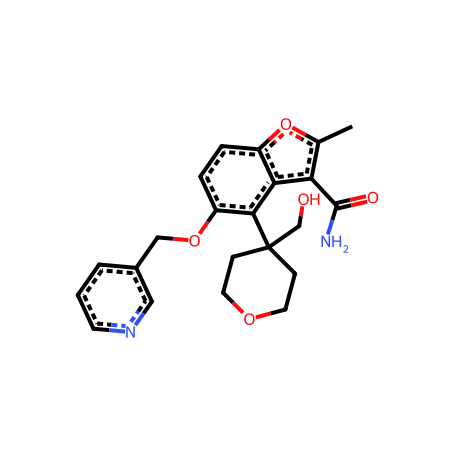 Cc1oc2ccc(OCc3cccnc3)c(C3(CO)CCOCC3)c2c1C(N)=O